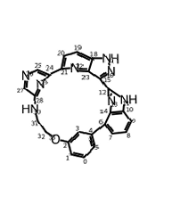 c1cc2cc(c1)-c1cccc3[nH]c(nc13)-c1n[nH]c3ccc(nc13)-c1cncc(n1)NCCO2